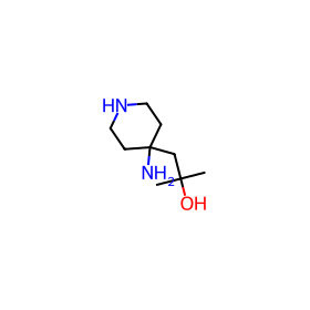 CC(C)(O)CC1(N)CCNCC1